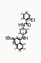 CCC1=C(C(=O)NC2CCC(Nc3cc(C(C)(C)C)nc4ccccc34)CC2)C=CCC1